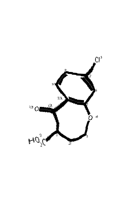 O=C(O)C1CCOc2cc(Cl)ccc2C1=O